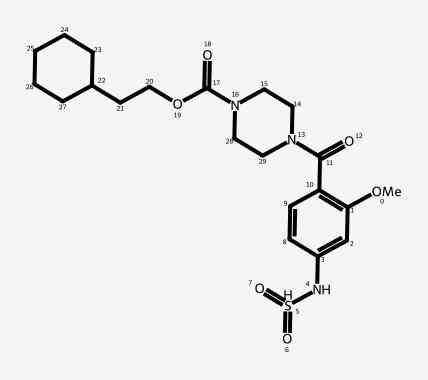 COc1cc(N[SH](=O)=O)ccc1C(=O)N1CCN(C(=O)OCCC2CCCCC2)CC1